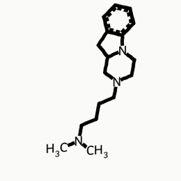 CN(C)CCCCN1CCN2c3ccccc3CC2C1